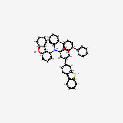 c1ccc(-c2ccc(-c3ccccc3N(c3cccc(-c4ccc5c(c4)sc4ccccc45)c3)c3cccc4oc5ccccc5c34)cc2)cc1